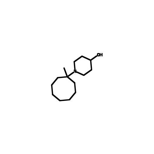 CC1(N2CCC(O)CC2)CCCCCCC1